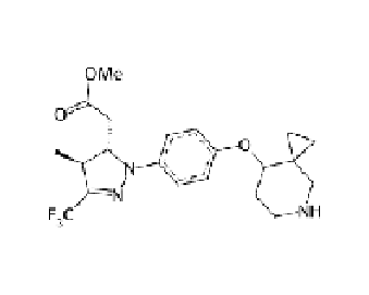 COC(=O)C[C@H]1[C@H](C)C(C(F)(F)F)=NN1c1ccc(OC2CCNCC23CC3)cc1